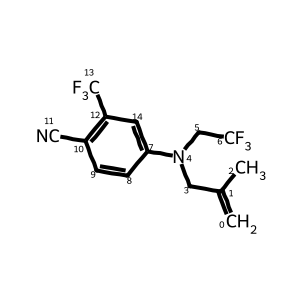 C=C(C)CN(CC(F)(F)F)c1ccc(C#N)c(C(F)(F)F)c1